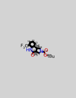 CC(C)(C)OC(=O)N1C[C@@H]2C(=O)Nc3c(cccc3C(F)(F)F)[C@H]2C1